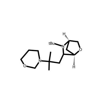 CC(C)(C)N1C(CC(C)(C)N2CCCOC2)[C@H]2C[C@@H]1CO2